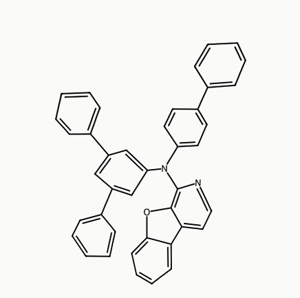 c1ccc(-c2ccc(N(c3cc(-c4ccccc4)cc(-c4ccccc4)c3)c3nccc4c3oc3ccccc34)cc2)cc1